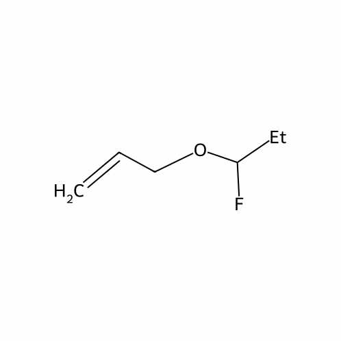 C=CCOC(F)CC